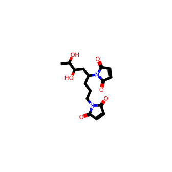 CC(O)C(O)CC(CCCN1C(=O)C=CC1=O)N1C(=O)C=CC1=O